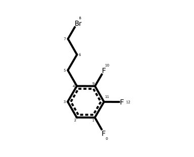 Fc1ccc(CCCBr)c(F)c1F